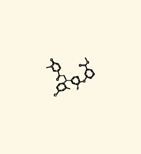 COC(=O)c1cccc(Oc2ccc(C(CC(=O)c3ccc(=O)n(C)c3)c3ccc(Cl)cc3C)cc2F)c1